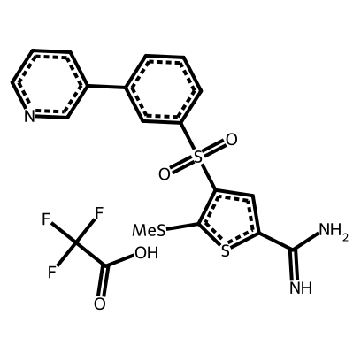 CSc1sc(C(=N)N)cc1S(=O)(=O)c1cccc(-c2cccnc2)c1.O=C(O)C(F)(F)F